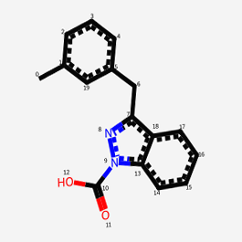 Cc1cccc(Cc2nn(C(=O)O)c3ccccc23)c1